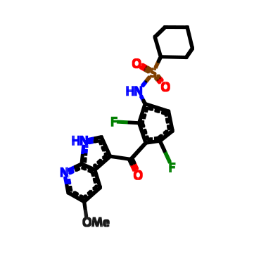 COc1cnc2[nH]cc(C(=O)c3c(F)ccc(NS(=O)(=O)C4CCCCC4)c3F)c2c1